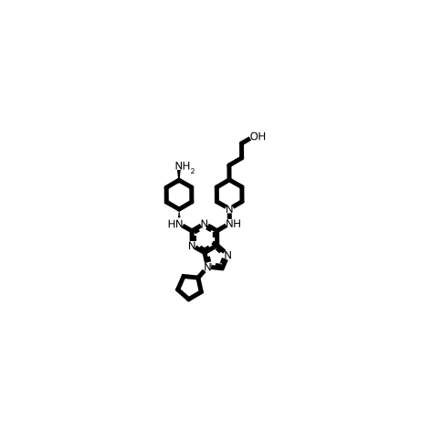 N[C@H]1CC[C@H](Nc2nc(NN3CCC(CCCO)CC3)c3ncn(C4CCCC4)c3n2)CC1